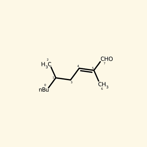 CCCCC(C)C/C=C(\C)C=O